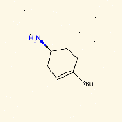 CC(C)(C)C1=CC[C@@H](N)CC1